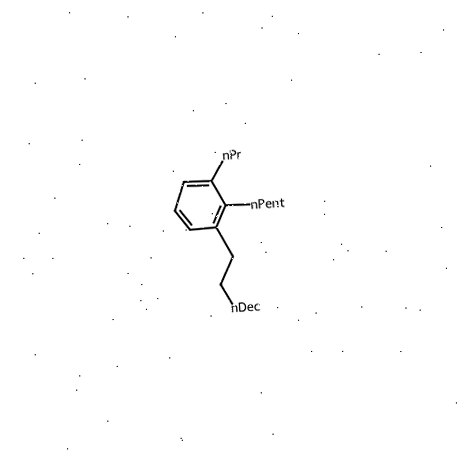 CCCCCCCCCCCCc1[c]ccc(CCC)c1CCCCC